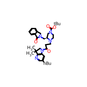 CCCCc1cnc2c(c1)N(C(=O)CCN1CCN(C(=O)OC(C)(C)C)C[C@@H]1CN1Cc3ccccc3C1=O)CC2(C)C